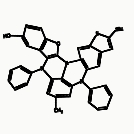 Cc1cc2c3c(c1)N(c1ccccc1)c1c(oc4ccc(O)cc14)B3c1cc3sc(C(C)(C)C)cc3cc1N2c1ccccc1